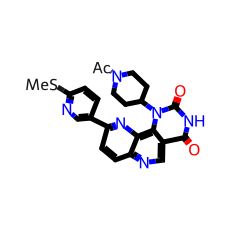 CSc1ccc(-c2ccc3ncc4c(=O)[nH]c(=O)n(C5CCN(C(C)=O)CC5)c4c3n2)cn1